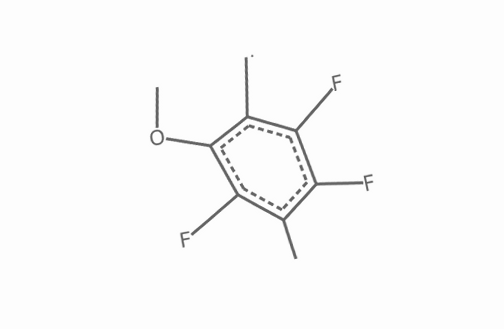 [CH2]c1c(F)c(F)c(C)c(F)c1OC